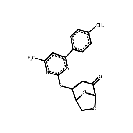 Cc1ccc(-c2cc(C(F)(F)F)nc(SC3CC(=O)C4OCC3O4)n2)cc1